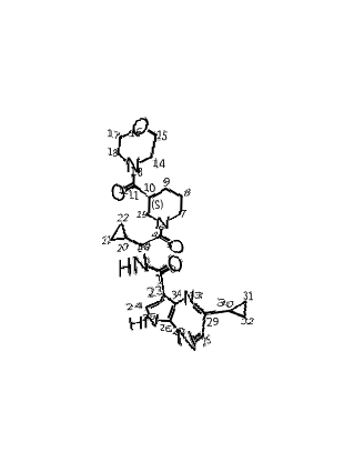 O=C(N[C@@H](C(=O)N1CCC[C@H](C(=O)N2CCOCC2)C1)C1CC1)c1c[nH]c2ncc(C3CC3)nc12